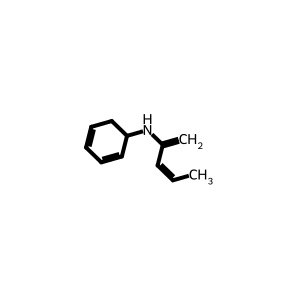 C=C(/C=C\C)NC1C=CC=CC1